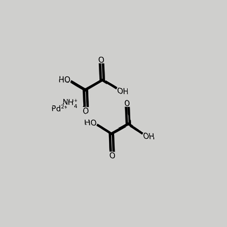 O=C(O)C(=O)O.O=C(O)C(=O)O.[NH4+].[Pd+2]